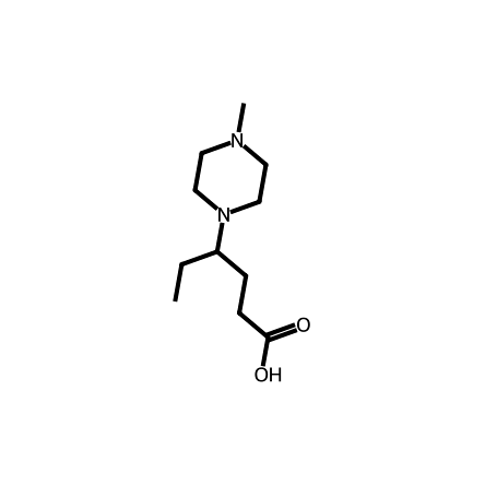 CCC(CCC(=O)O)N1CCN(C)CC1